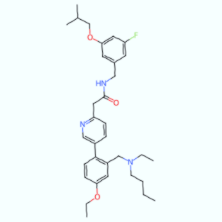 CCCCN(CC)Cc1cc(OCC)ccc1-c1ccc(CC(=O)NCc2cc(F)cc(OCC(C)C)c2)nc1